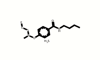 CCCCNC(=O)c1ccc(ON(C)SOF)cc1.S